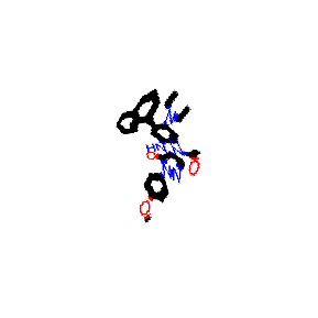 CCN(CC)c1ccc(NC2(NC(C)=O)C=NN(c3ccc(OC)cc3)C2=O)cc1-c1cccc2ccccc12